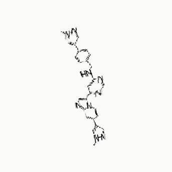 Cn1cc(-c2ccc(CNc3cc(-c4cnc5cc(-c6cnn(C)c6)ccn45)ncn3)cc2)cn1